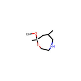 CCO[Si]1(C)CC(C)CNCCO1